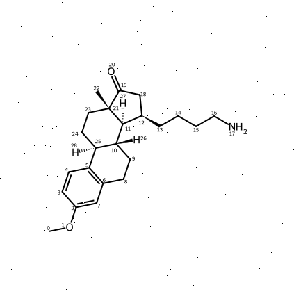 COc1ccc2c(c1)CC[C@H]1[C@@H]3[C@H](CCCCN)CC(=O)[C@@]3(C)CC[C@H]21